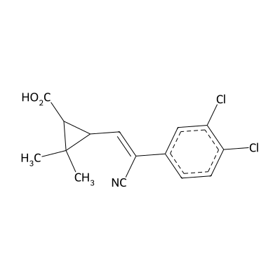 CC1(C)C(/C=C(\C#N)c2ccc(Cl)c(Cl)c2)C1C(=O)O